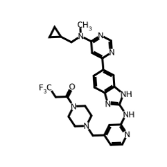 CN(CC1CC1)c1cc(-c2ccc3nc(Nc4cc(CN5CCN(C(=O)CC(F)(F)F)CC5)ccn4)[nH]c3c2)ncn1